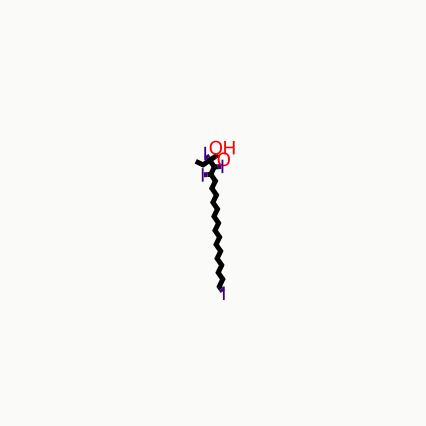 CCC(I)(C(=O)O)C(I)C(I)CCCCCCCCCCCCCCCCI